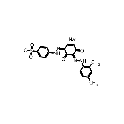 Cc1ccc(N/N=c2\c(=O)cc/c(=N/Nc3ccc(S(=O)(=O)[O-])cc3)c2=O)c(C)c1.[Na+]